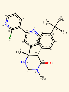 CN1CN[C@](C)(c2ccnc(-c3cccnc3F)c2)[C@H](c2ccc(C(C)(C)C)cc2)C1=O